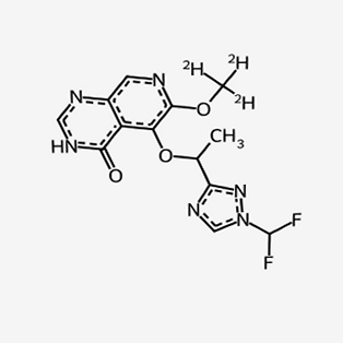 [2H]C([2H])([2H])Oc1ncc2nc[nH]c(=O)c2c1OC(C)c1ncn(C(F)F)n1